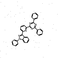 c1ccc(-c2nc(-c3ccccc3)nc(-c3cccc(-c4nn(-c5ccccc5)c5ccccc45)n3)n2)cc1